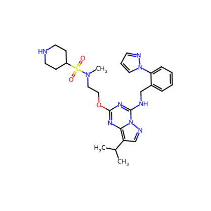 CC(C)c1cnn2c(NCc3ccccc3-n3cccn3)nc(OCCN(C)S(=O)(=O)C3CCNCC3)nc12